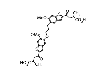 COc1cc2sc(C(=O)CC(C)C(=O)O)cc2cc1CCCOc1cc2cc(C(=O)CC(C)C(=O)O)sc2cc1OC